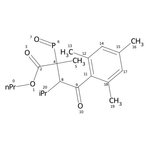 CCCOC(=O)C(C)(P=O)C(C(=O)c1c(C)cc(C)cc1C)C(C)C